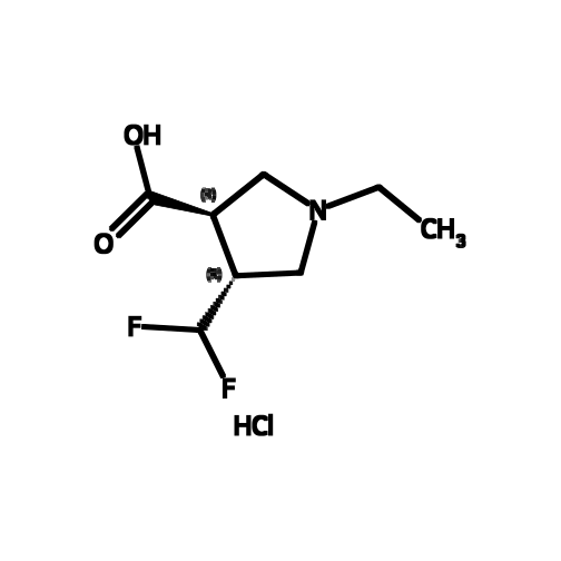 CCN1C[C@H](C(=O)O)[C@@H](C(F)F)C1.Cl